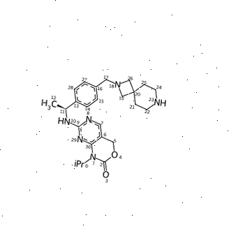 CC(C)N1C(=O)OCc2cnc(N[C@@H](C)c3ccc(CN4CC5(CCNCC5)C4)cc3)nc21